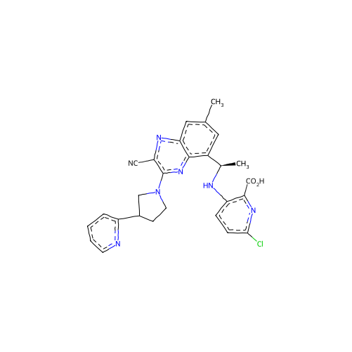 Cc1cc([C@@H](C)Nc2ccc(Cl)nc2C(=O)O)c2nc(N3CCC(c4ccccn4)C3)c(C#N)nc2c1